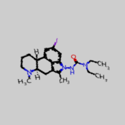 CCN(CC)C(=O)Nn1c(C)c2c3c(cc(I)cc31)[C@H]1CCCN(C)[C@@H]1C2